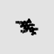 COc1c(N2CC(O)C(N(C)C)C2)c(F)cc2c(=O)c(C(=O)O)cn(C3CC3)c12.O